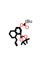 C=CCC1CCCc2cc(OC(=O)C(C)(C)C)cc(B3OC(C)(C)C(C)(C)O3)c21